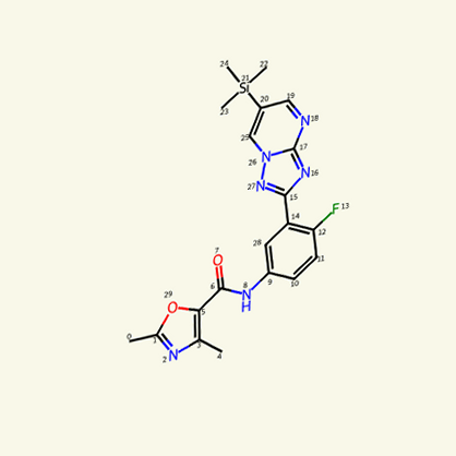 Cc1nc(C)c(C(=O)Nc2ccc(F)c(-c3nc4ncc([Si](C)(C)C)cn4n3)c2)o1